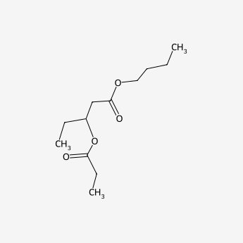 CCCCOC(=O)CC(CC)OC(=O)CC